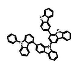 c1ccc(-n2c3ccccc3c3c(-c4ccc5c6ccccc6n(-c6cc(-c7ccc8sc9ccccc9c8c7)c7sc8ccccc8c7c6)c5c4)cccc32)cc1